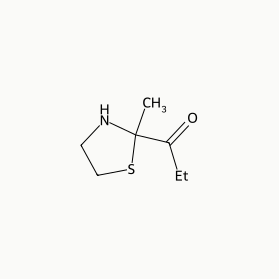 CCC(=O)C1(C)NCCS1